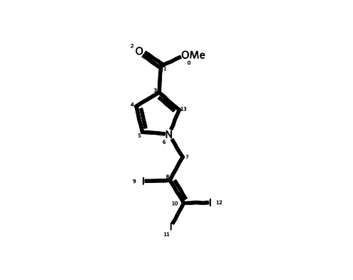 COC(=O)c1ccn(CC(I)=C(I)I)c1